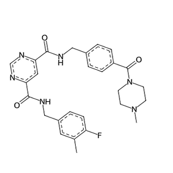 Cc1cc(CNC(=O)c2cc(C(=O)NCc3ccc(C(=O)N4CCN(C)CC4)cc3)ncn2)ccc1F